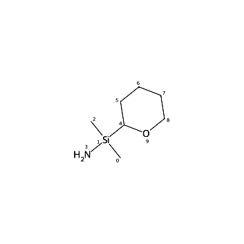 C[Si](C)(N)C1CCCCO1